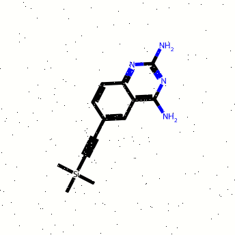 C[Si](C)(C)C#Cc1ccc2nc(N)nc(N)c2c1